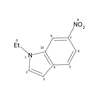 [CH2]Cn1ccc2ccc([N+](=O)[O-])cc21